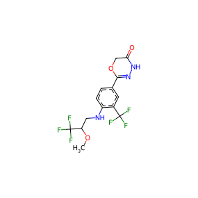 COC(CNc1ccc(C2=NNC(=O)CO2)cc1C(F)(F)F)C(F)(F)F